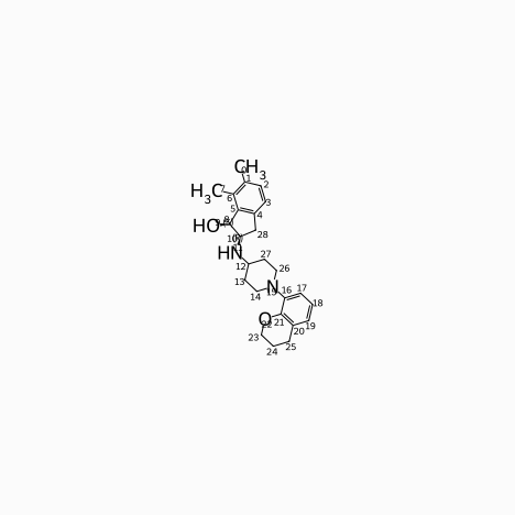 Cc1ccc2c(c1C)[C@H](O)[C@H](NC1CCN(c3cccc4c3OCCC4)CC1)C2